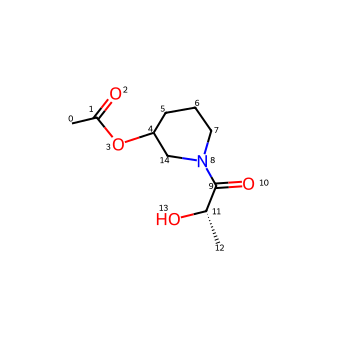 CC(=O)OC1CCCN(C(=O)[C@H](C)O)C1